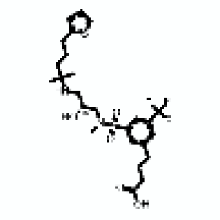 CN(C[C@H](O)CNC(C)(C)CCCc1cccs1)S(=O)(=O)c1cc(CCCC(=O)O)cc(C(F)(F)F)c1